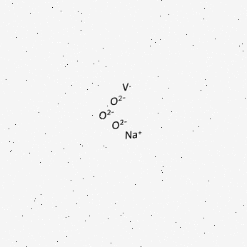 [Na+].[O-2].[O-2].[O-2].[V]